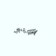 O=C(CSc1nnc(S)s1)OCCC(F)(F)C(F)(F)C(F)(F)C(F)(F)C(F)(C(F)(F)F)C(F)(F)F